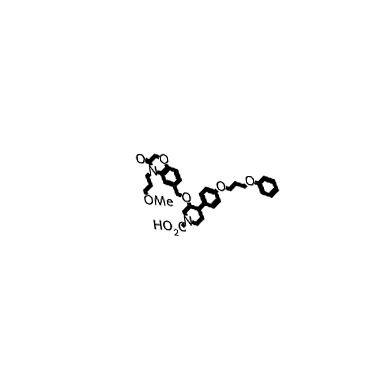 COCCCN1C(=O)COc2ccc(COC3CN(C(=O)O)CCC3c3ccc(OCCCOc4ccccc4)cc3)cc21